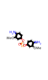 COc1cc(O[PH](=O)Oc2ccc(N)c(OC)c2)ccc1N